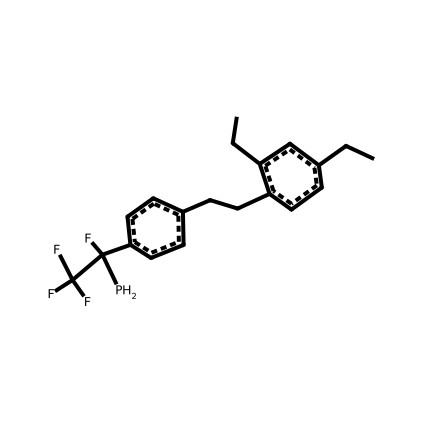 CCc1ccc(CCc2ccc(C(F)(P)C(F)(F)F)cc2)c(CC)c1